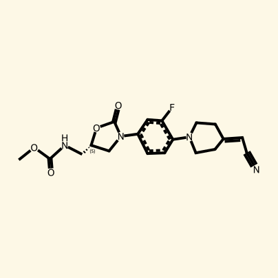 COC(=O)NC[C@H]1CN(c2ccc(N3CCC(=CC#N)CC3)c(F)c2)C(=O)O1